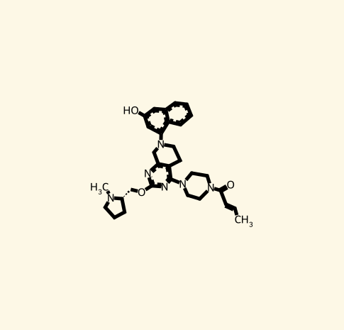 C/C=C/C(=O)N1CCN(c2nc(OC[C@@H]3CCCN3C)nc3c2CCN(c2cc(O)cc4ccccc24)C3)CC1